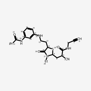 C#CCNC(=O)C(C#N)CC1SC(CCNc2cccc(NC(=O)C(C)C)c2)C(=O)N1CC